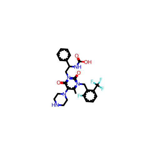 Cc1c(N2CCNCC2)c(=O)n(CC(NC(=O)O)c2ccccc2)c(=O)n1Cc1c(F)cccc1C(F)(F)F